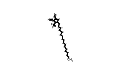 CCCCCCCCCCCCCCCCCCC1C=C(C#N)C(C#N)=C1C(F)(F)F